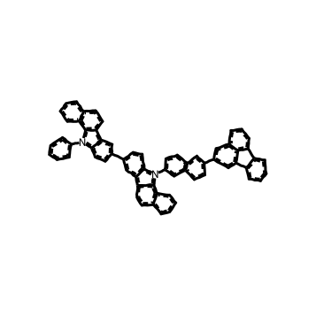 c1ccc(-n2c3ccc(-c4ccc5c(c4)c4ccc6ccccc6c4n5-c4ccc5cc(-c6cc7c8c(cccc8c6)-c6ccccc6-7)ccc5c4)cc3c3ccc4ccccc4c32)cc1